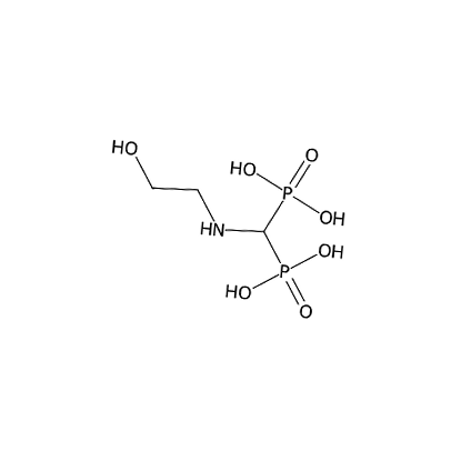 O=P(O)(O)C(NCCO)P(=O)(O)O